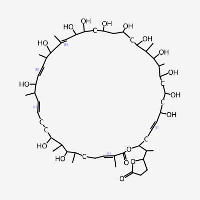 C/C1=C\CCC(C)C(O)C(C)C(O)CC/C=C/C(C)C(O)/C=C/C(C)C(O)/C(C)=C/C(O)C(O)CC(O)CC(O)CC(O)C(C)C(O)C(C)C(O)CC(O)CC(O)/C=C/CC(C(C)C2CCC(=O)O2)OC1=O